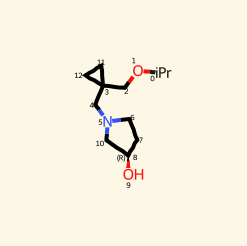 CC(C)OCC1(CN2CC[C@@H](O)C2)CC1